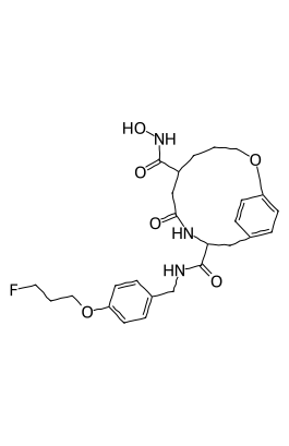 O=C1CC(C(=O)NO)CCCOc2ccc(cc2)CC(C(=O)NCc2ccc(OCCCF)cc2)N1